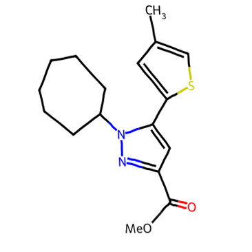 COC(=O)c1cc(-c2cc(C)cs2)n(C2CCCCCC2)n1